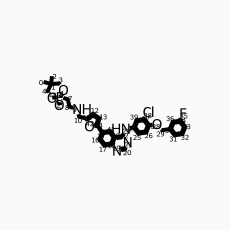 CC1(C)COP(=O)(CCNCc2ccc(-c3ccc4ncnc(Nc5ccc(OCc6cccc(F)c6)c(Cl)c5)c4c3)o2)OC1